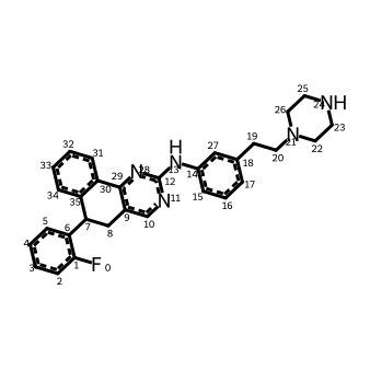 Fc1ccccc1C1Cc2cnc(Nc3cccc(CCN4CCNCC4)c3)nc2-c2ccccc21